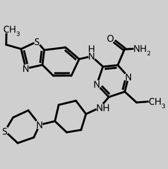 CCc1nc2ccc(Nc3nc(NC4CCC(N5CCSCC5)CC4)c(CC)nc3C(N)=O)cc2s1